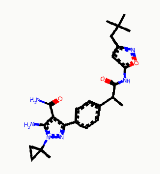 CC(C(=O)Nc1cc(CC(C)(C)C)no1)c1ccc(-c2nn(C3(C)CC3)c(N)c2C(N)=O)cc1